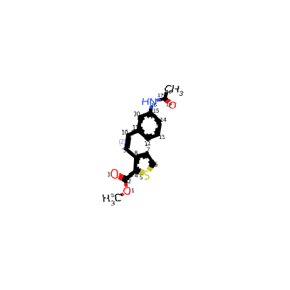 COC(=O)c1sccc1/C=C\c1cccc(NC(C)=O)c1